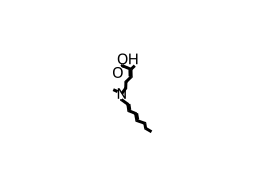 CCCC=CC=CCN(C)CCC=C(C)C(=O)O